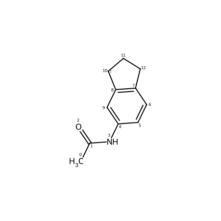 CC(=O)Nc1ccc2c(c1)[C]CC2